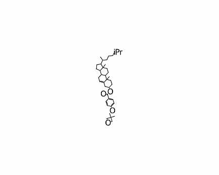 CC(C)CCCC(C)C1CCC2C3CC=C4CC(OC(=O)c5ccc(OCC6(C)COC6)cc5)CCC4(C)C3CCC12C